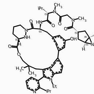 CCn1c(-c2cccnc2C(C)C)c2c3cc(ccc31)-c1cc(O)cc(c1)C[C@H](NC(=O)[C@H](C(C)C)N(C)C(=O)CN(C)C(=O)[C@H]1C[C@@H]3N[C@@H]3C1)C(=O)N1CCC[C@H](N1)C(=O)OCC(C)(C)C2